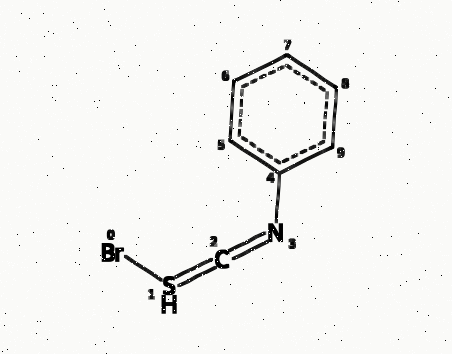 Br[SH]=C=Nc1ccccc1